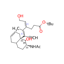 C#C/C(=C(C)\C(=C/CO)CCC(=O)OC(C)(C)C)[C@]12CC=CCC1CC[C@H](NC(C)=O)[C@@H]2O